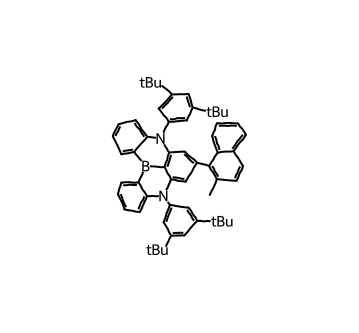 Cc1ccc2ccccc2c1-c1cc2c3c(c1)N(c1cc(C(C)(C)C)cc(C(C)(C)C)c1)c1ccccc1B3c1ccccc1N2c1cc(C(C)(C)C)cc(C(C)(C)C)c1